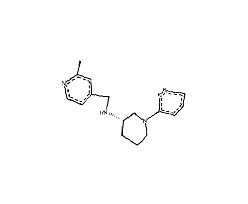 Cc1cc(CN[C@H]2CCCN(c3cccnn3)C2)ccn1